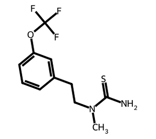 CN(CCc1cccc(OC(F)(F)F)c1)C(N)=S